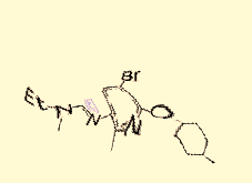 CCN(C)/C=N/c1cc(Br)c(O[C@H]2CC[C@H](C)CC2)nc1C